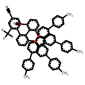 Cc1ccc(-c2ccc3c(c2)c2cc(-c4ccc(C)cc4)ccc2n3-c2cccc(C#N)c2-c2c(-c3ccc(C#N)cc3C(F)(F)F)cccc2-n2c3ccc(-c4ccc(C)cc4)cc3c3cc(-c4ccc(C)cc4)ccc32)cc1